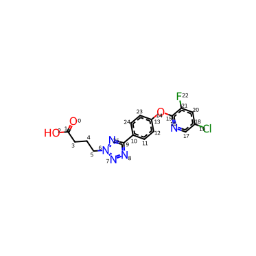 O=C(O)CCCn1nnc(-c2ccc(Oc3ncc(Cl)cc3F)cc2)n1